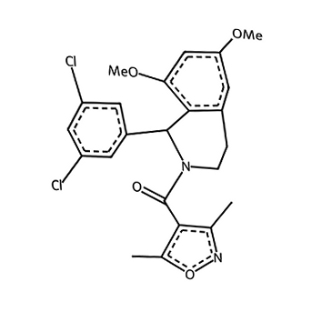 COc1cc2c(c(OC)c1)C(c1cc(Cl)cc(Cl)c1)N(C(=O)c1c(C)noc1C)CC2